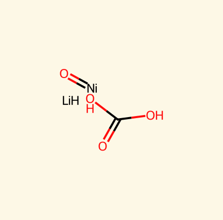 O=C(O)O.[LiH].[O]=[Ni]